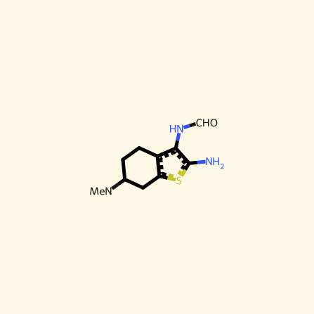 CNC1CCc2c(sc(N)c2NC=O)C1